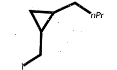 CCCCC1CC1CI